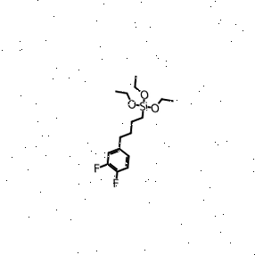 CCO[Si](CCCCc1ccc(F)c(F)c1)(OCC)OCC